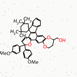 COc1ccc(C2(c3ccc(OC)cc3)C=Cc3c4c(c5cc6c(cc5c3O2)OCCC(CO)O6)-c2ccccc2C42CC(C)(C)CC(C)(C)C2)cc1